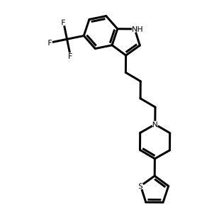 FC(F)(F)c1ccc2[nH]cc(CCCCN3CC=C(c4cccs4)CC3)c2c1